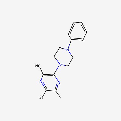 CCc1nc(C#N)c(N2CCN(c3ccccc3)CC2)nc1C